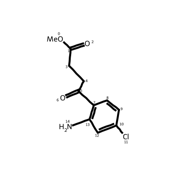 COC(=O)CCC(=O)c1ccc(Cl)cc1N